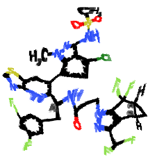 Cn1nc(NS(C)(=O)=O)c2c(Cl)ccc(-c3cc4scnc4nc3[C@H](Cc3cc(F)cc(F)c3)NC(=O)Cn3nc(C(F)F)c4c3C(F)(F)[C@@H]3C[C@H]43)c21